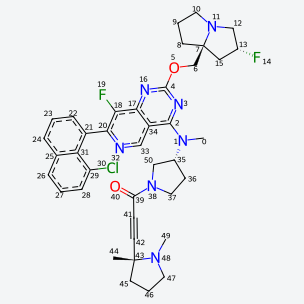 CN(c1nc(OC[C@@]23CCCN2C[C@H](F)C3)nc2c(F)c(-c3cccc4cccc(Cl)c34)ncc12)[C@@H]1CCN(C(=O)C#C[C@@]2(C)CCCN2C)C1